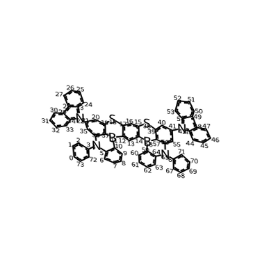 c1ccc(N2c3ccccc3B3c4cc5c(cc4Sc4cc(-n6c7ccccc7c7ccccc76)cc2c43)Sc2cc(-n3c4ccccc4c4ccccc43)cc3c2B5c2ccccc2N3c2ccccc2)cc1